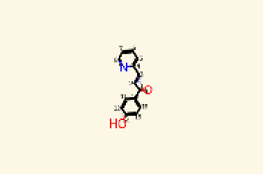 O=C(/C=C/c1ccccn1)c1ccc(O)cc1